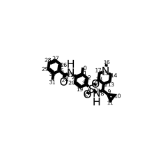 Cc1cc(S(=O)(=O)NC(C2CC2)C2CCN(C)CC2)ccc1NC(=O)c1ccccc1C